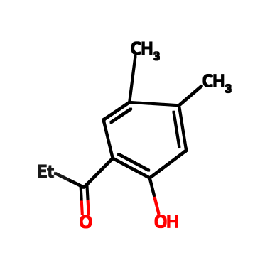 CCC(=O)c1cc(C)c(C)cc1O